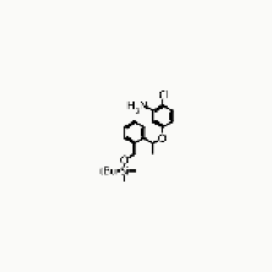 CC(Oc1ccc(Cl)c(N)c1)c1ccccc1CO[Si](C)(C)C(C)(C)C